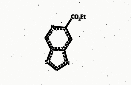 CCOC(=O)c1cc2ncsc2cn1